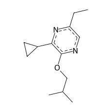 CCc1cnc(OCC(C)C)c(C2CC2)n1